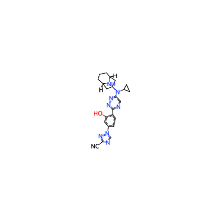 N#Cc1ncn(-c2ccc(-c3ncc(N(C4CC4)[C@@H]4C[C@H]5CCC[C@@H](C4)N5)nn3)c(O)c2)n1